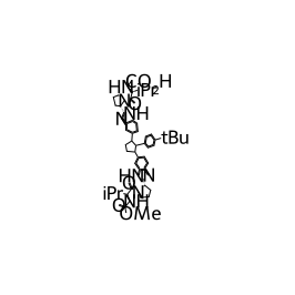 COC(=O)N[C@H](C(=O)N1CCC[C@H]1c1nc2ccc(C3CCC(c4ccc5[nH]c([C@@H]6CCCN6C(=O)[C@@H](NC(=O)O)C(C)C)nc5c4)C3c3ccc(C(C)(C)C)cc3)cc2[nH]1)C(C)C